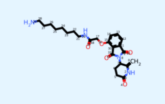 C=C1NC(=O)CCC1N1C(=O)c2cccc(OCC(=O)NCCCCCCCCN)c2C1=O